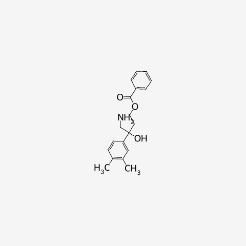 Cc1ccc(C(O)(CN)CCOC(=O)c2ccccc2)cc1C